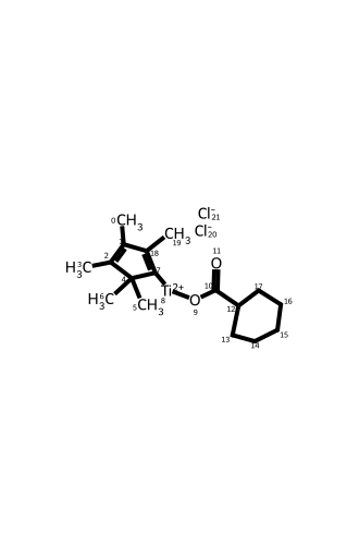 CC1=C(C)C(C)(C)[C]([Ti+2][O]C(=O)C2CCCCC2)=C1C.[Cl-].[Cl-]